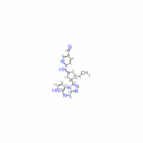 CC[C@@H]1C[C@H](Nc2ccc(C#N)cn2)C[C@@H]1c1nnc2cnc3[nH]ccc3n12